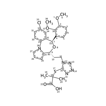 COc1cccc([C@H]2O[C@H](CCn3nnnc3SC(C)(C)C(=O)O)c3cccn3-c3ccc(Cl)cc32)c1OC